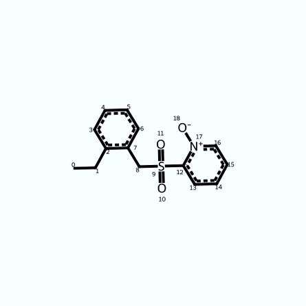 CCc1ccccc1CS(=O)(=O)c1cccc[n+]1[O-]